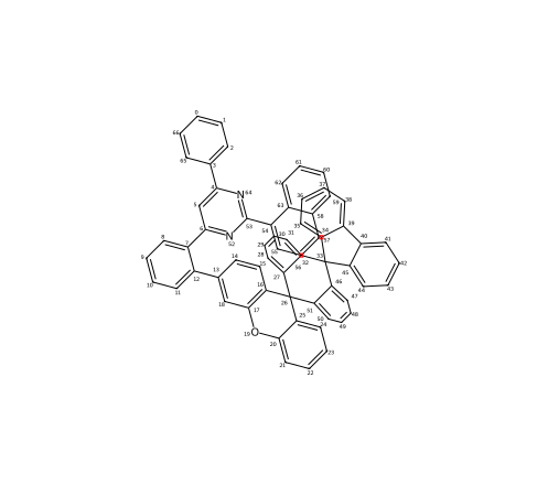 c1ccc(-c2cc(-c3ccccc3-c3ccc4c(c3)Oc3ccccc3C43c4ccccc4C4(c5ccccc5-c5ccccc54)c4ccccc43)nc(-c3cccc4ccccc34)n2)cc1